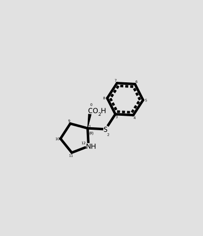 O=C(O)[C@]1(Sc2ccccc2)CCCN1